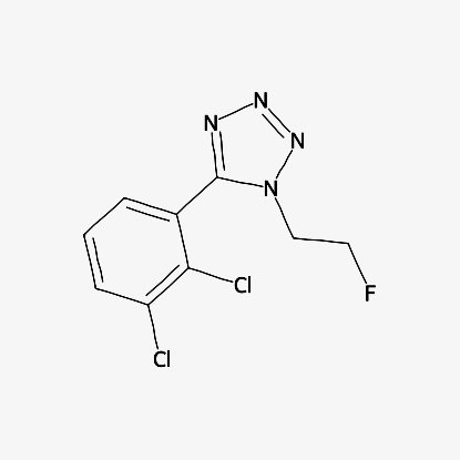 FCCn1nnnc1-c1cccc(Cl)c1Cl